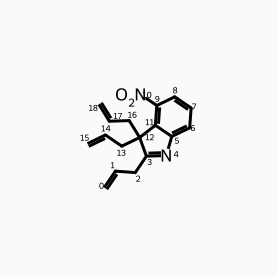 C=CCC1=Nc2cccc([N+](=O)[O-])c2C1(CC=C)CC=C